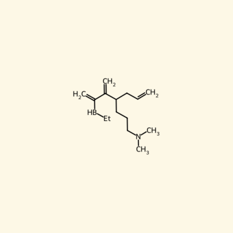 C=CCC(CCCN(C)C)C(=C)C(=C)BCC